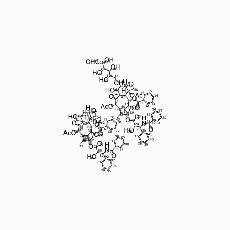 CC(=O)O[C@H]1C(=O)[C@@]2(C)[C@H]([C@H](OC(=O)c3ccccc3)[C@]3(O)C[C@H](OC(=O)[C@H](O)[C@@H](NC(=O)c4ccccc4)c4ccccc4)C(C)=C1C3(C)C)[C@]1(OC(C)=O)CO[C@@H]1C[C@@H]2O.CC(=O)O[C@H]1C(=O)[C@@]2(C)[C@H]([C@H](OC(=O)c3ccccc3)[C@]3(O)C[C@H](OC(=O)[C@H](O)[C@@H](NC(=O)c4ccccc4)c4ccccc4)C(C)=C1C3(C)C)[C@]1(OC(C)=O)CO[C@@H]1C[C@@H]2O.O=C[C@H](O)[C@@H](O)[C@H](O)[C@H](O)CO